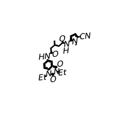 CCn1c(=O)c2cc(NC(=O)CC(C)CC(=O)Nc3ccc(C#N)n3C)ccc2n(CC)c1=O